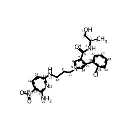 C[C@H](CO)NC(=O)c1cn(CCCNc2ccc([N+](=O)[O-])c(N)n2)cc1-c1ccccc1Cl